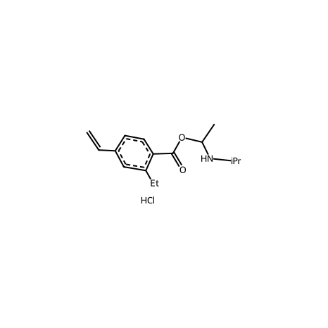 C=Cc1ccc(C(=O)OC(C)NC(C)C)c(CC)c1.Cl